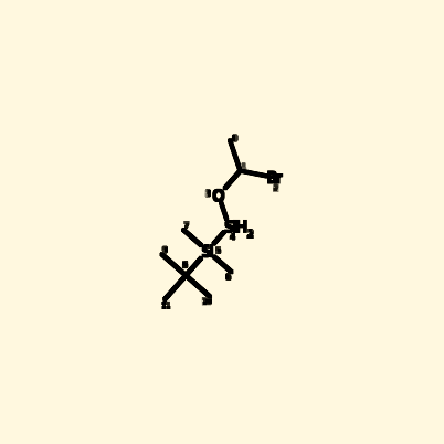 CC(Br)O[SiH2][Si](C)(C)C(C)(C)C